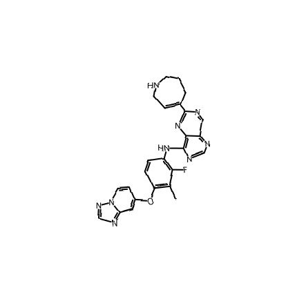 Cc1c(Oc2ccn3ncnc3c2)ccc(Nc2ncnc3cnc(C4=CCNCCC4)nc23)c1F